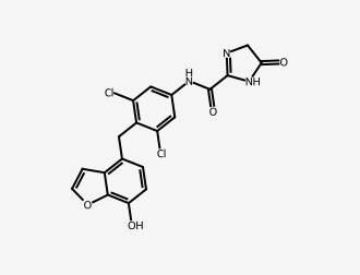 O=C1CN=C(C(=O)Nc2cc(Cl)c(Cc3ccc(O)c4occc34)c(Cl)c2)N1